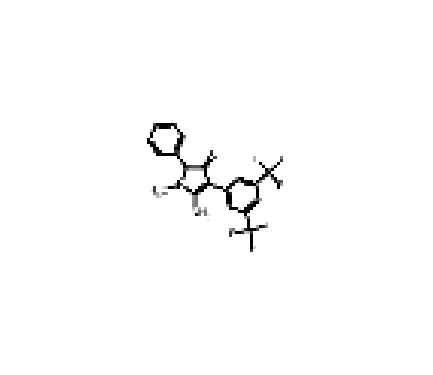 CN1C(N)=C(c2cc(C(F)(F)F)cc(C(F)(F)F)c2)C(=O)C1c1ccccc1